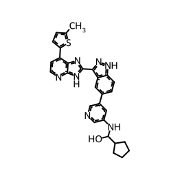 Cc1ccc(-c2ccnc3[nH]c(-c4n[nH]c5ccc(-c6cncc(NC(O)C7CCCC7)c6)cc45)nc23)s1